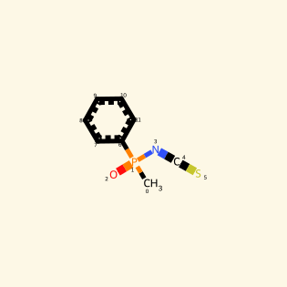 CP(=O)(N=C=S)c1ccccc1